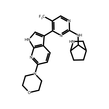 FC(F)(F)c1cnc(NC2C3CCC2NC3)nc1-c1c[nH]c2nc(N3CCOCC3)ccc12